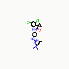 Cc1cc(N(C)C)nc(N[C@H]2CC[C@@H](NC(=O)C3(c4ccc(Cl)cc4Cl)CC3)CC2)n1